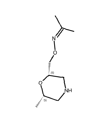 CC(C)=NOC[C@@H]1CNC[C@H](C)O1